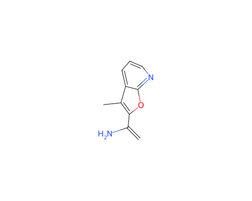 C=C(N)c1oc2ncccc2c1C